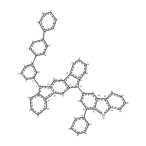 c1ccc(-c2ccc(-c3cccc(-n4c5ccccc5c5cc6c(cc54)c4ccccc4n6-c4cc(-c5ccccc5)c5oc6ccccc6c5c4)c3)cc2)cc1